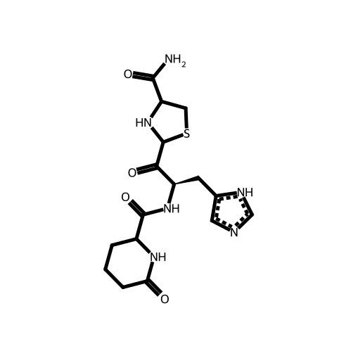 NC(=O)C1CSC(C(=O)[C@@H](Cc2cnc[nH]2)NC(=O)C2CCCC(=O)N2)N1